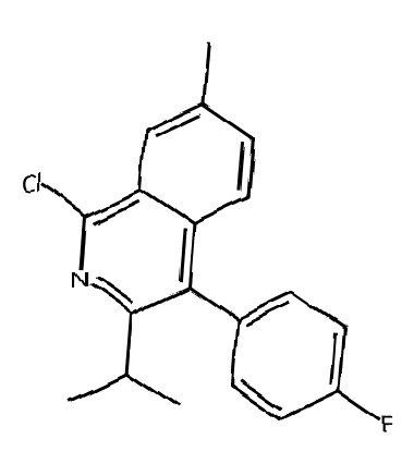 Cc1ccc2c(-c3ccc(F)cc3)c(C(C)C)nc(Cl)c2c1